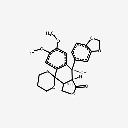 COc1cc2c(cc1OC)[C@@](O)(c1ccc3c(c1)OCO3)[C@H]1C(=O)OC[C@H]1C21SCCCS1